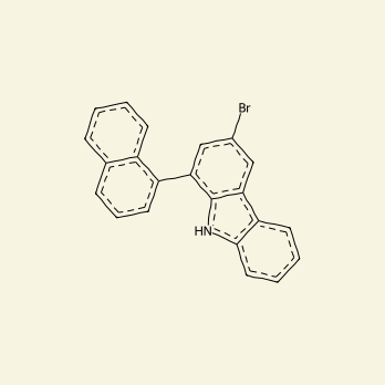 Brc1cc(-c2cccc3ccccc23)c2[nH]c3ccccc3c2c1